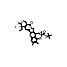 CC[C@@]1(O)C(=O)OCc2c1cc1n(c2=O)Cc2c-1nc1cc(F)c(C)c(Br)c1c2CNC(=O)OC(C)(C)C